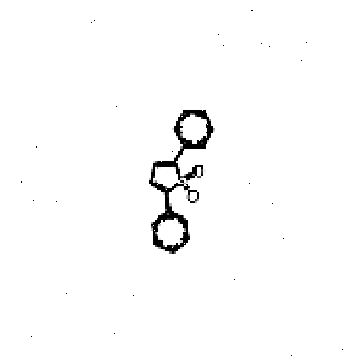 O=S1(=O)C(c2ccccc2)=CC=C1c1ccccc1